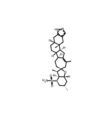 CC1=C2C[C@H]3[C@@H](CC[C@@H]4Cc5[nH]ncc5C[C@@]43C)[C@@H]2CC[C@@]2(C1)O[C@@H]1C[C@H](C)CN(S(N)(=O)=O)[C@H]1[C@H]2C